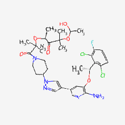 CC(O)OC(C)(C)C(=O)C(C)OC(C)(C)C(=O)N1CCC(n2cc(-c3cnc(N)c(O[C@H](C)c4c(Cl)ccc(F)c4Cl)c3)cn2)CC1